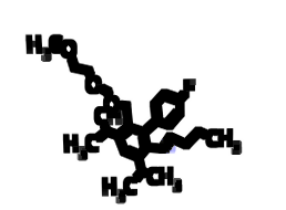 CCC/C=C/c1c(C(C)C)cc(C(C)C)c(COCOCCOC)c1-c1ccc(F)cc1